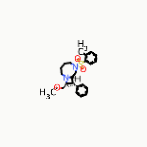 COC[C@@H]1[C@@H](c2ccccc2)[C@@H]2CN(S(=O)(=O)c3ccccc3C)CCCCN12